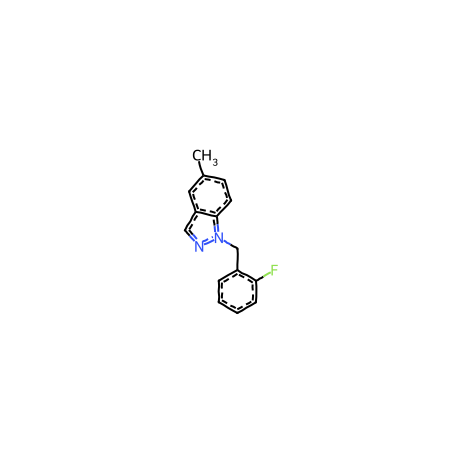 Cc1ccc2c(cnn2Cc2ccccc2F)c1